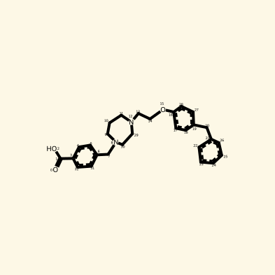 O=C(O)c1ccc(CN2CCCN(CCOc3ccc(Cc4ccccc4)cc3)CC2)cc1